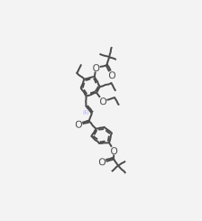 CCOc1c(/C=C/C(=O)c2ccc(OC(=O)C(C)(C)C)cc2)cc(CC)c(OC(=O)C(C)(C)C)c1CC